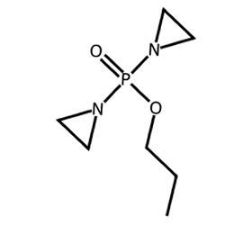 CCCOP(=O)(N1CC1)N1CC1